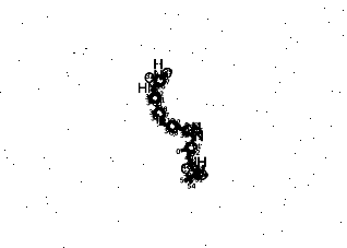 Cc1cc(-c2ncnn3cc(-c4ccc(CN5CCC(c6ccc(NC7CCC(=O)NC7=O)cc6)CC5)cc4)cc23)ccc1CNC(=O)c1nocc1C(C)(C)C